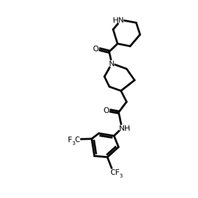 O=C(CC1CCN(C(=O)C2CCCNC2)CC1)Nc1cc(C(F)(F)F)cc(C(F)(F)F)c1